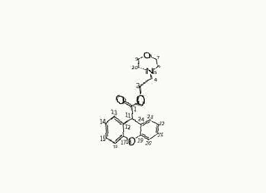 O=C(OCCN1CCOCC1)C1c2ccccc2Oc2ccccc21